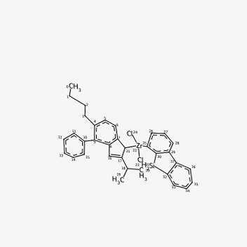 CCCCc1ccc2c(c1-c1ccccc1)C=C(C(C)C)[CH]2[Zr]([Cl])([Cl])[c]1cccc2c1[SiH2]c1ccccc1-2